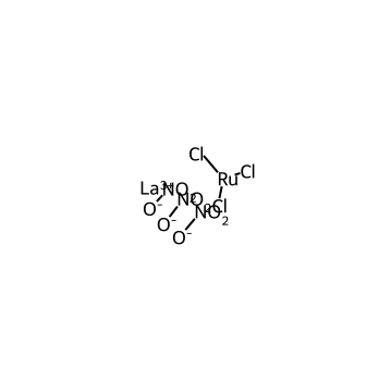 O=[N+]([O-])[O-].O=[N+]([O-])[O-].O=[N+]([O-])[O-].[Cl][Ru]([Cl])[Cl].[La+3]